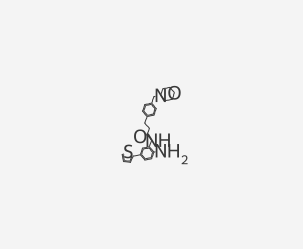 Nc1ccc(-c2cccs2)cc1NC(=O)CCc1ccc(CN2CCOCC2)cc1